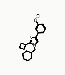 COc1cccc(-c2cn(CC3CCCCC3)c(C3CCC3)n2)c1